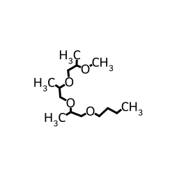 CCCCOCC(C)OCC(C)OCC(C)OC